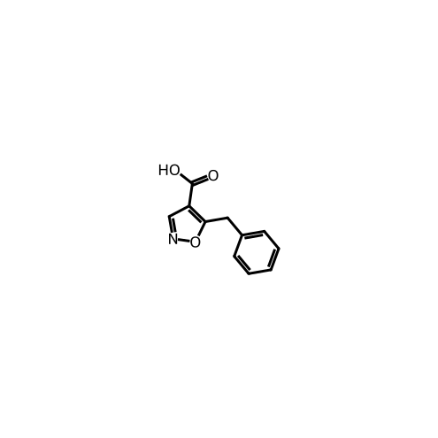 O=C(O)c1cnoc1Cc1ccccc1